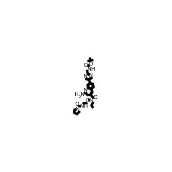 CCCN(OCCNC(=O)N1CCCC1)C(=O)C1=Cc2ccc(-c3cnc(CNC(=O)OC(C)(C)C)nc3)cc2N=C(N)C1